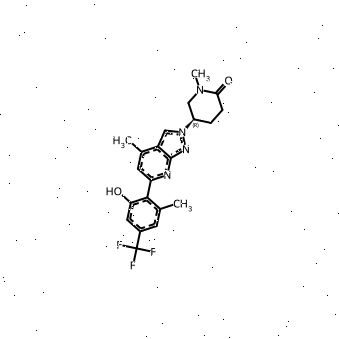 Cc1cc(C(F)(F)F)cc(O)c1-c1cc(C)c2cn([C@@H]3CCC(=O)N(C)C3)nc2n1